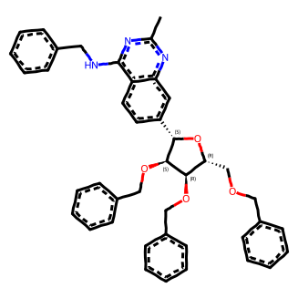 Cc1nc(NCc2ccccc2)c2ccc([C@@H]3O[C@H](COCc4ccccc4)[C@@H](OCc4ccccc4)[C@H]3OCc3ccccc3)cc2n1